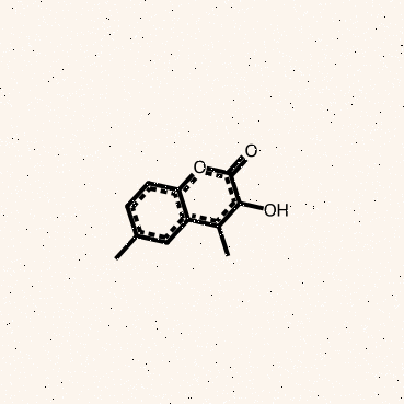 Cc1ccc2oc(=O)c(O)c(C)c2c1